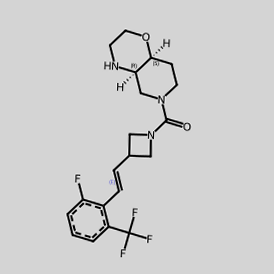 O=C(N1CC(/C=C/c2c(F)cccc2C(F)(F)F)C1)N1CC[C@@H]2OCCN[C@@H]2C1